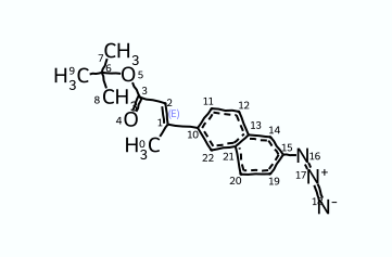 C/C(=C\C(=O)OC(C)(C)C)c1ccc2cc(N=[N+]=[N-])ccc2c1